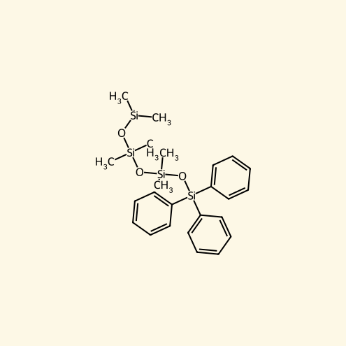 C[Si](C)O[Si](C)(C)O[Si](C)(C)O[Si](c1ccccc1)(c1ccccc1)c1ccccc1